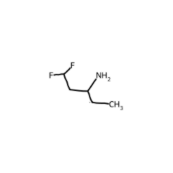 C[CH]C(N)CC(F)F